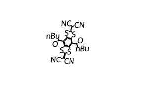 CCCCC(=O)c1c2c(c(C(=O)CCCC)c3c1SC(=C(C#N)C#N)S3)SC(=C(C#N)C#N)S2